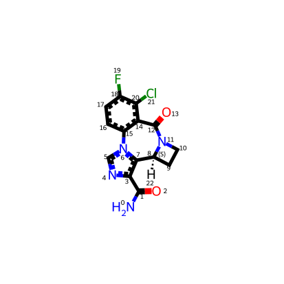 NC(=O)c1ncn2c1[C@@H]1CCN1C(=O)c1c-2ccc(F)c1Cl